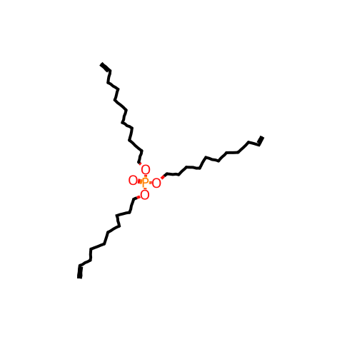 C=CCCCCCCCCCOP(=O)(OCCCCCCCCC=C)OCCCCCCCCCC=C